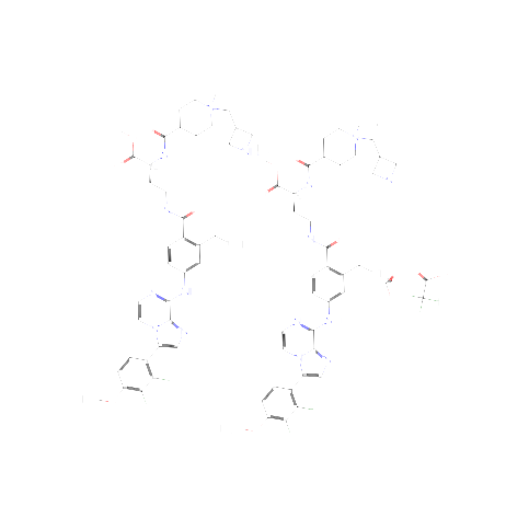 CCc1cc(Nc2nccn3c(-c4ccc(OC)c(F)c4F)cnc23)ccc1C(=O)NCC[C@H](NC(=O)C1CC[N+](C)(CC2CNC2)CC1)C(=O)OC.CCc1cc(Nc2nccn3c(-c4ccc(OC)c(F)c4F)cnc23)ccc1C(=O)NCC[C@H](NC(=O)C1CC[N+](C)(CC2CNC2)CC1)C(=O)OC.O=C([O-])C(F)(F)F.O=C[O-]